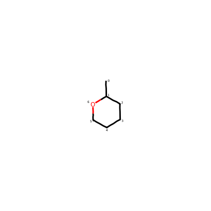 CC1CCC[CH]O1